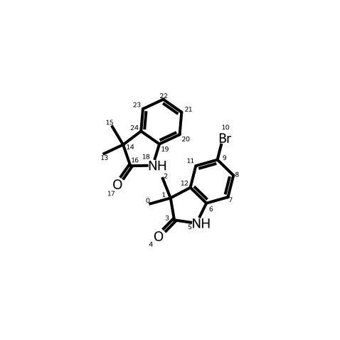 CC1(C)C(=O)Nc2ccc(Br)cc21.CC1(C)C(=O)Nc2ccccc21